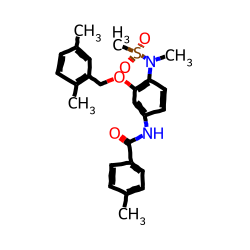 Cc1ccc(C(=O)Nc2ccc(N(C)S(C)(=O)=O)c(OCc3cc(C)ccc3C)c2)cc1